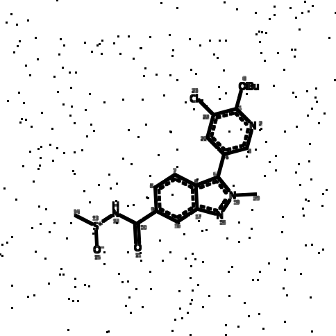 CC(C)COc1ncc(-c2c3ccc(C(=O)N[S+](C)[O-])cc3nn2C)cc1Cl